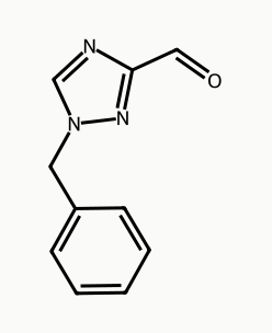 O=Cc1ncn(Cc2ccccc2)n1